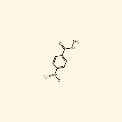 C=[N+]([O-])c1ccc(C(=O)NN)cc1